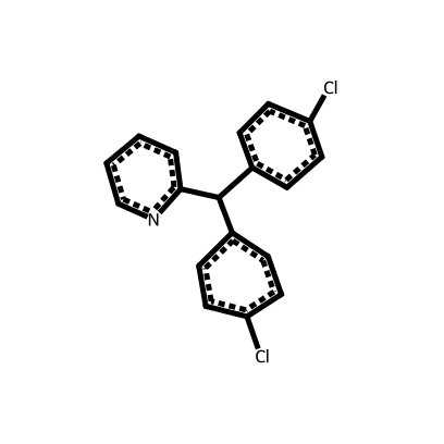 Clc1ccc(C(c2ccc(Cl)cc2)c2ccccn2)cc1